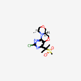 C[C@@H]1COC[C@@H]2COc3c(nc(Cl)nc3C(C)(C)S(C)(=O)=O)N21